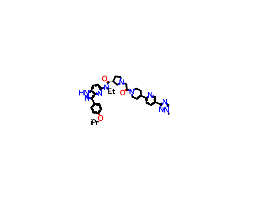 CCN(C(=O)[C@@H]1CCN(CC(=O)N2CC=C(c3ccc(-c4ncn(C)n4)cn3)CC2)C1)c1ccc2[nH]nc(-c3ccc(OC(C)C)cc3)c2n1